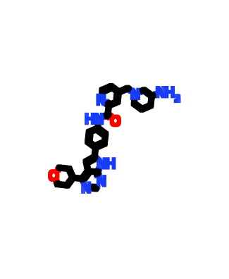 NC1CCCN(Cc2ccnc(C(=O)Nc3ccc(-c4cc5c(C6CCOCC6)ncnc5[nH]4)cc3)c2)C1